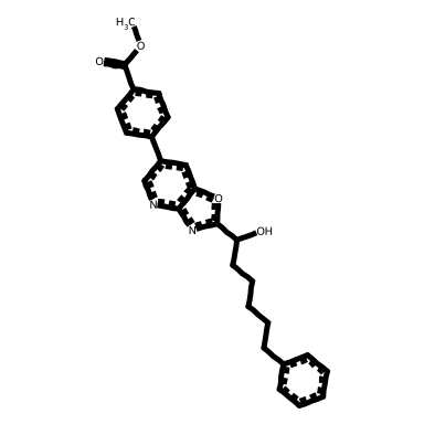 COC(=O)c1ccc(-c2cnc3nc(C(O)CCCCCc4ccccc4)oc3c2)cc1